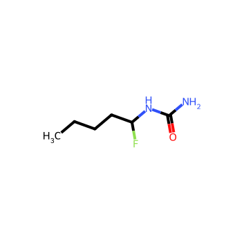 CCCCC(F)NC(N)=O